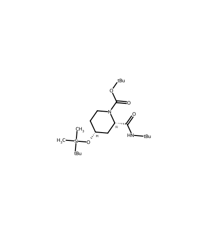 CC(C)(C)NC(=O)[C@@H]1C[C@H](O[Si](C)(C)C(C)(C)C)CCN1C(=O)OC(C)(C)C